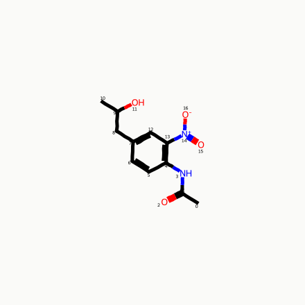 CC(=O)Nc1ccc(CC(C)O)cc1[N+](=O)[O-]